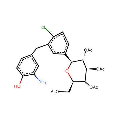 CC(=O)OC[C@H]1O[C@@H](c2ccc(Cl)c(Cc3ccc(O)c(N)c3)c2)[C@H](OC(C)=O)[C@@H](OC(C)=O)C1OC(C)=O